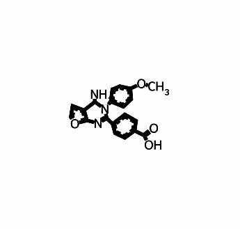 COc1ccc(N2C(c3ccc(C(=O)O)cc3)=Nc3occc3C2N)cc1